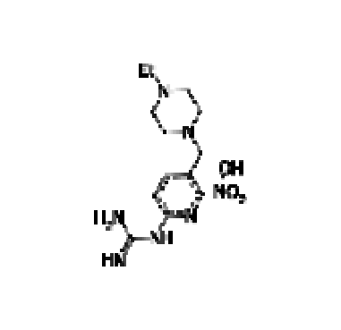 CCN1CCN(Cc2ccc(NC(=N)N)nc2)CC1.O=[N+]([O-])O